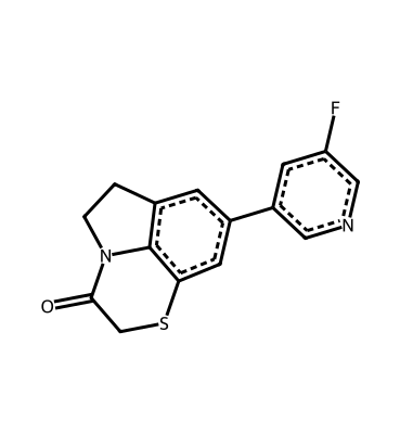 O=C1CSc2cc(-c3cncc(F)c3)cc3c2N1CC3